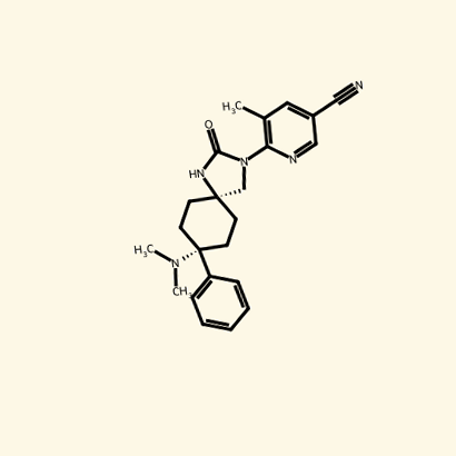 Cc1cc(C#N)cnc1N1C[C@]2(CC[C@@](c3ccccc3)(N(C)C)CC2)NC1=O